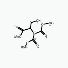 COC(=O)C(CO)N(C(=O)OC(C)(C)C)C(=O)OC(C)(C)C